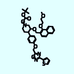 COCCOc1c(COC2CN(OC(=O)OC(C)(C)C)CCC2c2ccc(OCc3nc(-c4cccs4)no3)cc2)ccc2ccccc12